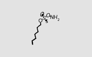 CCCCCCCOS(=O)(=S)ON